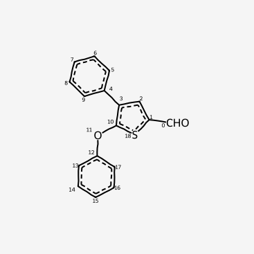 O=Cc1cc(-c2ccccc2)c(Oc2ccccc2)s1